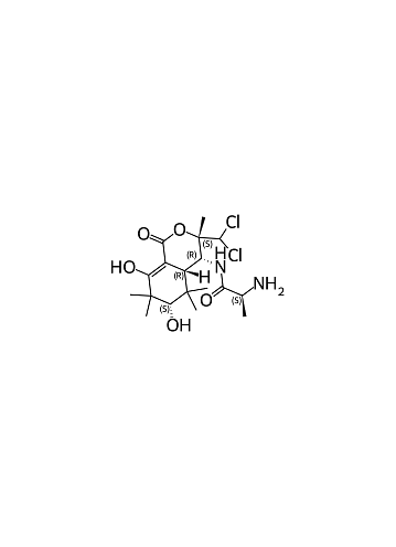 C[C@H](N)C(=O)N[C@@H]1[C@H]2C(=C(O)C(C)(C)[C@@H](O)C2(C)C)C(=O)O[C@]1(C)C(Cl)Cl